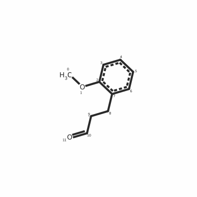 COc1ccccc1C[CH]C=O